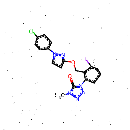 Cn1nnn(-c2cccc(I)c2COc2ccn(-c3ccc(Cl)cc3)n2)c1=O